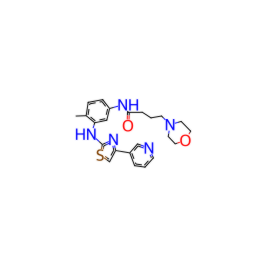 Cc1ccc(NC(=O)CCCN2CCOCC2)cc1Nc1nc(-c2cccnc2)cs1